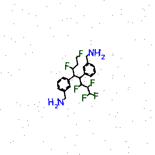 NCc1cccc(C(C(F)CCF)C(c2cccc(CN)c2)C(F)C(F)C(F)F)c1